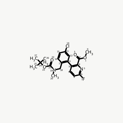 COC(=O)c1nc(F)ccc1-c1cc(Cl)ccc1CN(C)C(=O)OC(C)(C)C